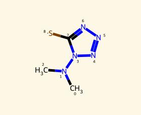 CN(C)n1nnnc1[S]